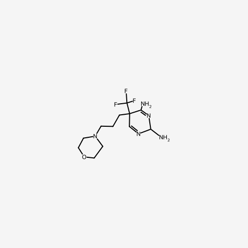 NC1=NC(N)N=CC1(CCCN1CCOCC1)C(F)(F)F